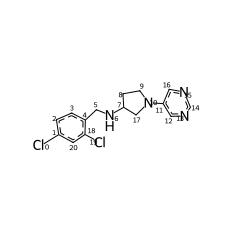 Clc1ccc(CNC2CCN(c3cncnc3)C2)c(Cl)c1